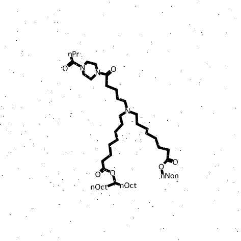 CCCCCCCCCOC(=O)CCCCCCCN(CCCCCCCC(=O)OC(CCCCCCCC)CCCCCCCC)CCCCC(=O)N1CCN(C(=O)CCC)CC1